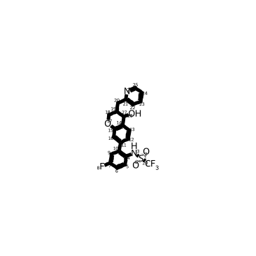 O=S(=O)(Nc1ccc(F)cc1-c1ccc2c(c1)OCC(Cc1ccccn1)C2O)C(F)(F)F